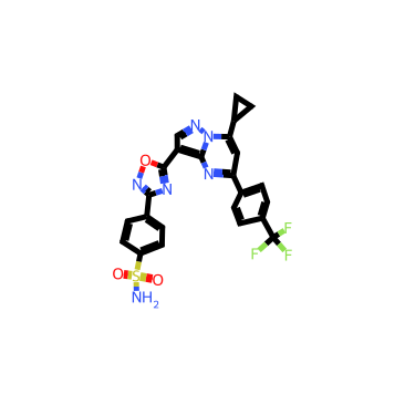 NS(=O)(=O)c1ccc(-c2noc(-c3cnn4c(C5CC5)cc(-c5ccc(C(F)(F)F)cc5)nc34)n2)cc1